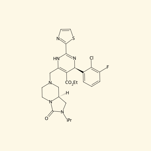 CCOC(=O)C1=C(CN2CCN3C(=O)N(C(C)C)C[C@@H]3C2)NC(c2nccs2)=N[C@H]1c1cccc(F)c1Cl